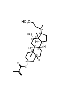 C=C(C)C(=O)O[C@@H]1CC[C@@]2(C)[C@H](CC[C@@H]3[C@@H]2C[C@H](O)[C@]2(C)[C@@H]([C@H](C)CCC(=O)O)CC[C@@H]32)C1